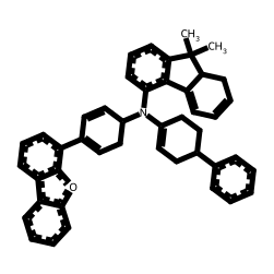 CC1(C)c2cccc(N(C3=CCC(c4ccccc4)CC3)C3C=CC(c4cccc5c4oc4ccccc45)=CC3)c2C2=CC=CCC21